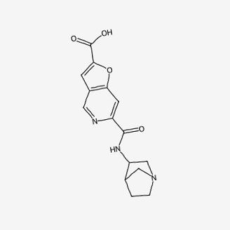 O=C(NC1CN2CCC1C2)c1cc2oc(C(=O)O)cc2cn1